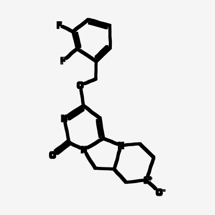 O=c1nc(OCc2cccc(F)c2F)cc2n1CC1C[S+]([O-])CCN21